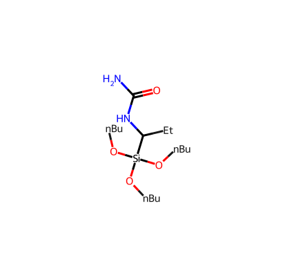 CCCCO[Si](OCCCC)(OCCCC)C(CC)NC(N)=O